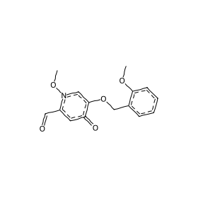 COc1ccccc1COc1cn(OC)c(C=O)cc1=O